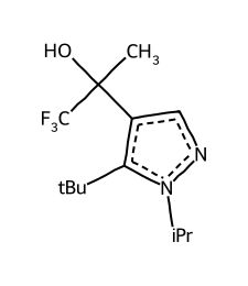 CC(C)n1ncc(C(C)(O)C(F)(F)F)c1C(C)(C)C